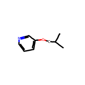 CC(C)COc1c[c]cnc1